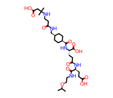 CC(C)OCCNC(=O)[C@H](CCC(=O)O)NC(=O)CC[C@H](NC(=O)[C@H]1CC[C@@H](CNC(=O)CCNC(C)(C)CC(=O)O)CC1)C(=O)O